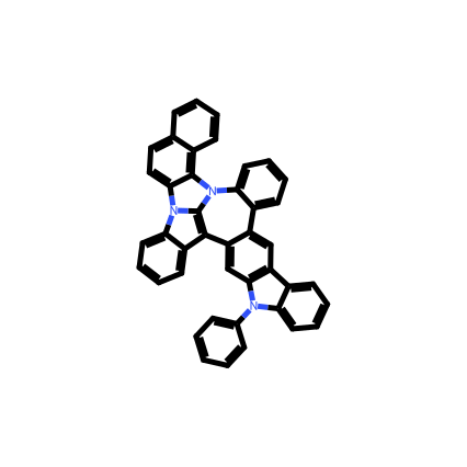 c1ccc(-n2c3ccccc3c3cc4c(cc32)-c2c3ccccc3n3c5ccc6ccccc6c5n(c23)-c2ccccc2-4)cc1